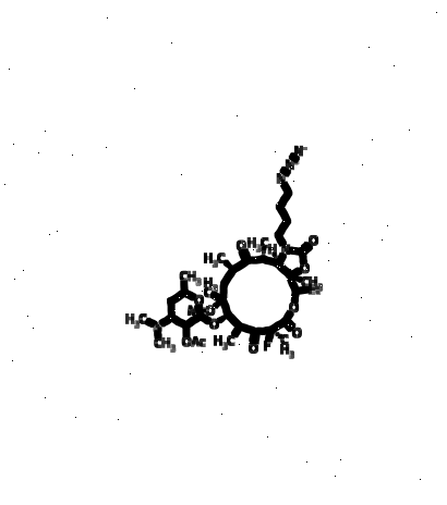 CCC1OC(=O)[C@@](C)(F)C(=O)C(C)[C@@H](OC2OC(C)CC(N(C)C)C2OC(C)=O)[C@@](C)(OC)C[C@@H](C)C(=O)[C@H](C)[C@H]2N(CCCCN=[N+]=[N-])C(=O)O[C@]12C